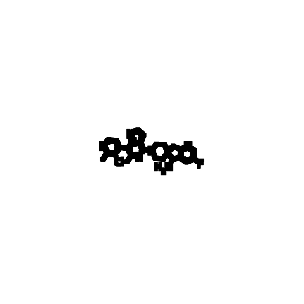 Cc1nccc(-c2c(C)nc(N3CCC4(CC3)Cc3ncc(F)cc3[C@H]4N)c3ccnn23)c1Cl